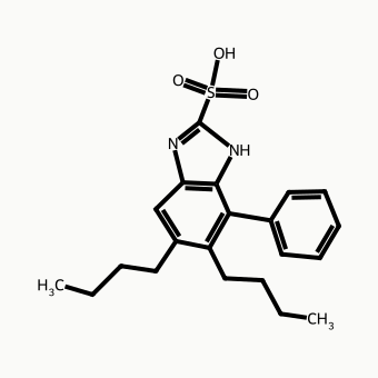 CCCCc1cc2nc(S(=O)(=O)O)[nH]c2c(-c2ccccc2)c1CCCC